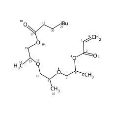 C=CC(=O)OC(C)COC(C)COC(C)COC(=O)CCC(C)CC